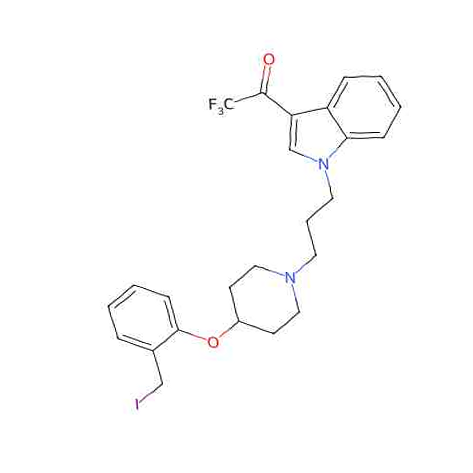 O=C(c1cn(CCCN2CCC(Oc3ccccc3CI)CC2)c2ccccc12)C(F)(F)F